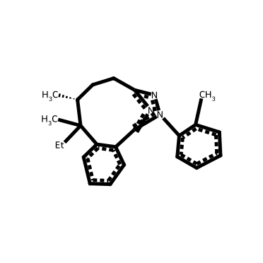 CCC1(C)c2ccccc2-c2nc(nn2-c2ccccc2C)CC[C@H]1C